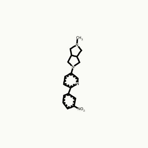 CN1CC2CN(c3ccc(-c4cccc([N+](=O)[O-])c4)nc3)CC2C1